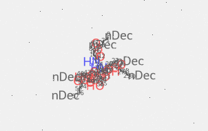 CCCCCCCCCCCCCC(=O)O[C@H](CCCCCCCCCCC)CC(=O)NCC[C@]1(NC(=O)C[C@@H](CCCCCCCCCCC)OC(=O)CCCCCCCCCCCCC)[C@H](O)O[C@H](CO)[C@@H](OP(=O)(O)O)[C@@H]1OC(=O)C[C@@H](CCCCCCCCCCC)OC(=O)CCCCCCCCCCCCC